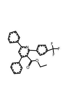 CCOC(=O)c1c(-c2ccccc2)cc(-c2ccccc2)nc1-c1ccc(C(F)(F)F)cc1